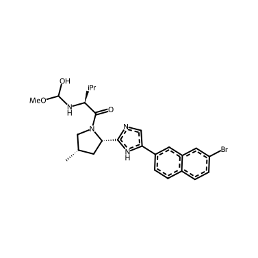 COC(O)N[C@H](C(=O)N1C[C@@H](C)C[C@H]1c1ncc(-c2ccc3ccc(Br)cc3c2)[nH]1)C(C)C